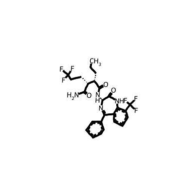 CCC[C@H](C(=O)N[C@H]1N=C(c2ccccc2)c2cccc(C(F)(F)F)c2NC1=O)[C@@H](CCC(F)(F)F)C(N)=O